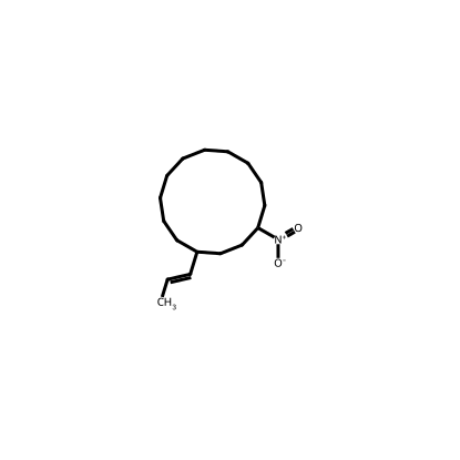 CC=CC1CCCCCCCCCCC([N+](=O)[O-])CC1